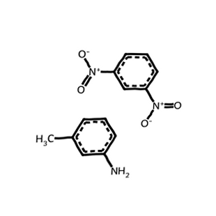 Cc1cccc(N)c1.O=[N+]([O-])c1cccc([N+](=O)[O-])c1